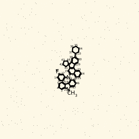 Cn1c2ccccc2c2c(N(c3cccc(F)c3)c3cc4c(c5ccccc35)-c3ccc(C5CCCCC5)cc3C43CCCC3)cccc21